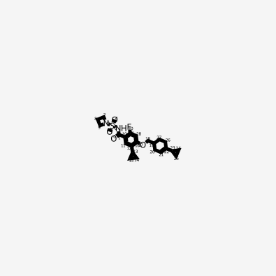 O=C(NS(=O)(=O)N1CCC1)c1cc(C2CC2)c(OCC2CC=C(C3CC3)CC2)cc1F